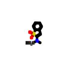 CN(C(=O)O)C1=Cc2ccccc2S1(=O)=O